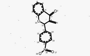 C=C1C(=O)c2ccccc2OC1c1ccc([N+](=O)[O-])cc1